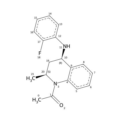 CC(=O)N1c2ccccc2[C@H](Nc2ccccc2F)C[C@@H]1C